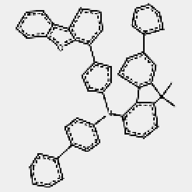 CC1(C)c2cc(-c3ccccc3)ccc2-c2c(N(c3ccc(-c4ccccc4)cc3)c3ccc(-c4cccc5c4oc4ccccc45)cc3)cccc21